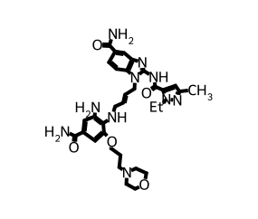 CCn1nc(C)cc1C(=O)Nc1nc2cc(C(N)=O)ccc2n1CC=CCNc1c(N)cc(C(N)=O)cc1OCCCN1CCOCC1